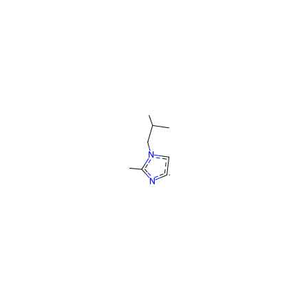 Cc1n[c]cn1CC(C)C